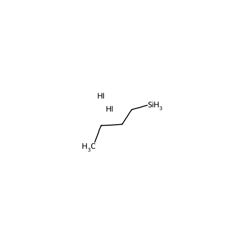 CCCC[SiH3].I.I